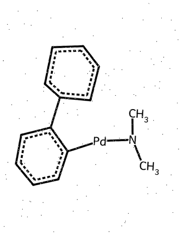 C[N](C)[Pd][c]1ccccc1-c1ccccc1